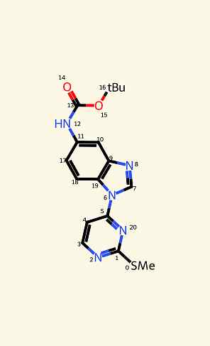 CSc1nccc(-n2cnc3cc(NC(=O)OC(C)(C)C)ccc32)n1